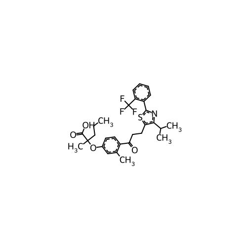 CCCC(C)(Oc1ccc(C(=O)CCc2sc(-c3ccccc3C(F)(F)F)nc2C(C)C)c(C)c1)C(=O)O